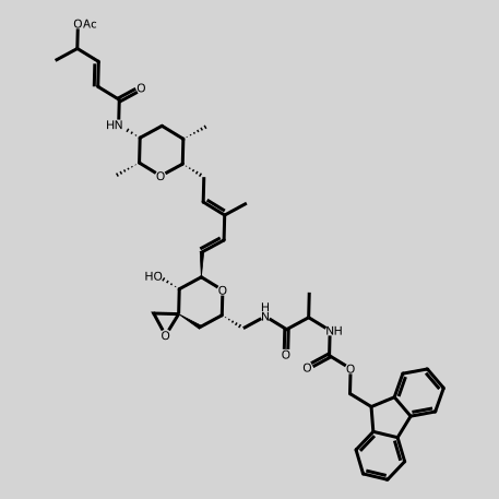 CC(=O)OC(C)C=CC(=O)N[C@@H]1C[C@H](C)[C@H](CC=C(C)C=C[C@H]2O[C@H](CNC(=O)C(C)NC(=O)OCC3c4ccccc4-c4ccccc43)C[C@@]3(CO3)[C@@H]2O)O[C@@H]1C